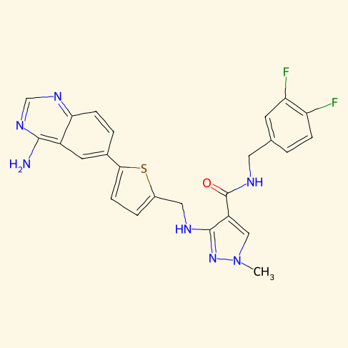 Cn1cc(C(=O)NCc2ccc(F)c(F)c2)c(NCc2ccc(-c3ccc4ncnc(N)c4c3)s2)n1